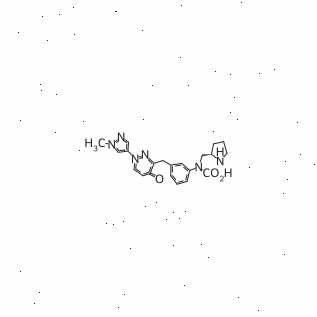 Cn1cc(-n2ccc(=O)c(Cc3cccc(N(C[C@H]4CCCN4)C(=O)O)c3)n2)cn1